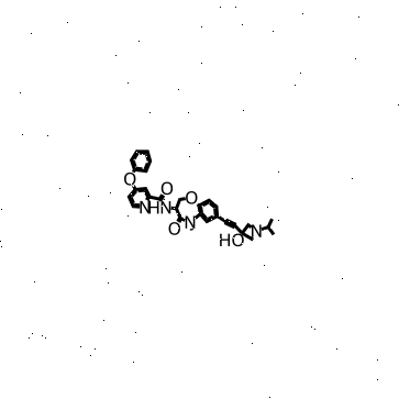 CC(C)N1CC(O)(C#Cc2ccc3c(c2)N(C)C(=O)C(NC(=O)c2cc(Oc4ccccc4)ccn2)CO3)C1